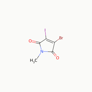 CN1C(=O)C(Br)=C(I)C1=O